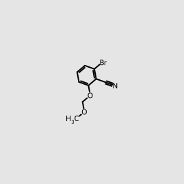 COCOc1cccc(Br)c1C#N